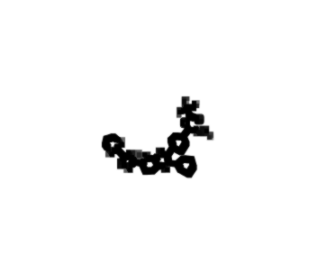 NC(OC(=O)C(F)(F)F)c1ccc(-c2nc3nc(-c4nnc(-c5ncccn5)[nH]4)ccc3nc2-c2ccccc2)cc1